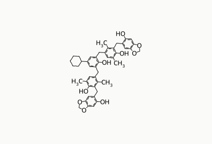 Cc1cc(Cc2cc(C3CCCCC3)cc(Cc3cc(C)c(O)c(Cc4cc5c(cc4O)OCO5)c3C)c2O)c(C)c(Cc2cc3c(cc2O)OCO3)c1O